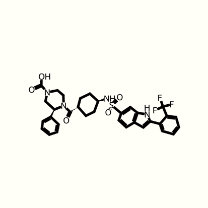 O=C(O)N1CCN(C(=O)[C@H]2CC[C@H](NS(=O)(=O)c3ccc4cc(-c5ccccc5C(F)(F)F)[nH]c4c3)CC2)[C@@H](c2ccccc2)C1